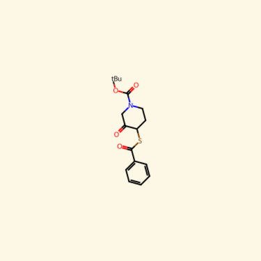 CC(C)(C)OC(=O)N1CCC(SC(=O)c2ccccc2)C(=O)C1